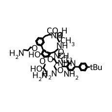 C[C@@H]1NC(=O)[C@@H](N(C)C(=O)[C@H](CCN)NC(=O)c2c(N)cc(-c3ccc(C(C)(C)C)cc3)nc2Cl)c2cc(OC[C@H](O)CN)c(O)c(c2)-c2cc(ccc2OCCCN)C[C@@H](C(=O)O)NC1=O